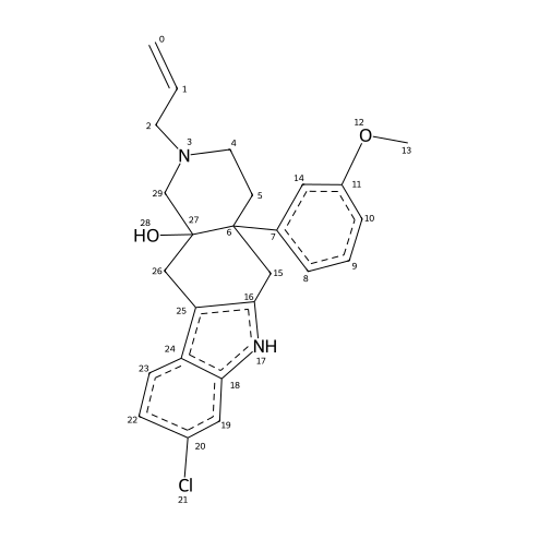 C=CCN1CCC2(c3cccc(OC)c3)Cc3[nH]c4cc(Cl)ccc4c3CC2(O)C1